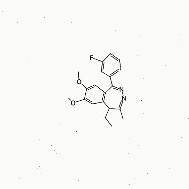 CCC1C(C)=NN=C(c2cccc(F)c2)c2cc(OC)c(OC)cc21